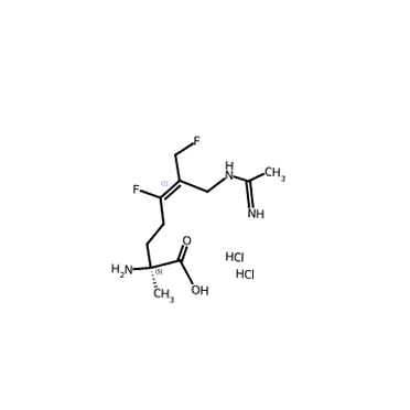 CC(=N)NC/C(CF)=C(/F)CC[C@](C)(N)C(=O)O.Cl.Cl